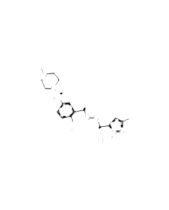 CCCc1cc(C(=O)NNC(=O)c2cc(S(=O)(=O)N3CCN(C)CC3)ccc2OCC)n(C)n1